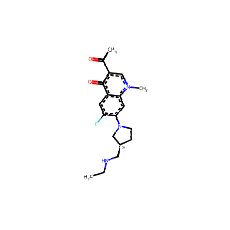 CCNC[C@@H]1CCN(c2cc3c(cc2F)c(=O)c(C(C)=O)cn3C)C1